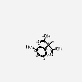 CC(C(=O)O)(C(=O)O)c1cccc(O)c1